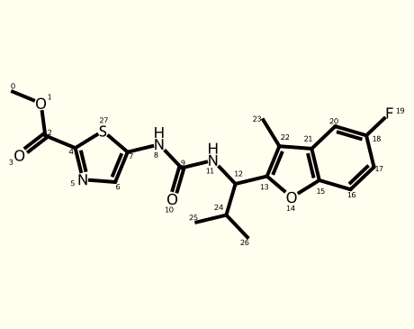 COC(=O)c1ncc(NC(=O)NC(c2oc3ccc(F)cc3c2C)C(C)C)s1